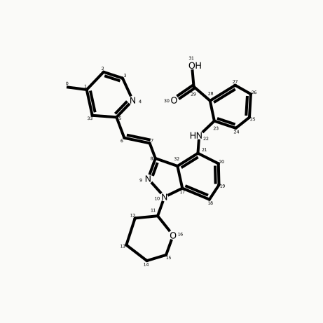 Cc1ccnc(C=Cc2nn(C3CCCCO3)c3cccc(Nc4ccccc4C(=O)O)c23)c1